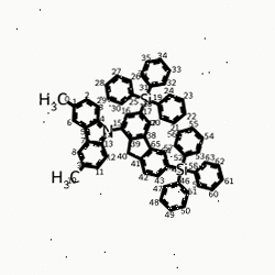 Cc1ccc2c(c1)c1cc(C)ccc1n2-c1cc([Si](c2ccccc2)(c2ccccc2)c2ccccc2)cc2c1Cc1ccc([Si](c3ccccc3)(c3ccccc3)c3ccccc3)cc1-2